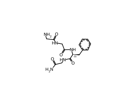 NCC(=O)NCC(=O)N[C@@H](Cc1ccccc1)C(=O)NCC(N)=O